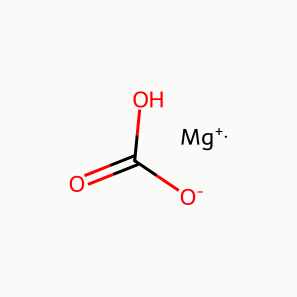 O=C([O-])O.[Mg+]